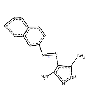 Nc1n[nH]c(N)c1/N=N/c1ccc2ccccc2c1